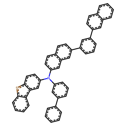 c1ccc(-c2cccc(N(c3ccc4ccc(-c5cccc(-c6ccc7ccccc7c6)c5)cc4c3)c3ccc4sc5ccccc5c4c3)c2)cc1